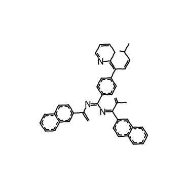 C=C(C)/C(=N\C(=N/C(=C)c1ccc2ccccc2c1)c1ccc(C(/C=C\C(C)C)=C2/CC=CC=N2)cc1)c1ccc2ccccc2c1